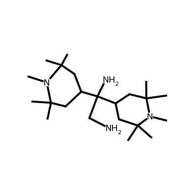 CN1C(C)(C)CC(C(N)(CN)C2CC(C)(C)N(C)C(C)(C)C2)CC1(C)C